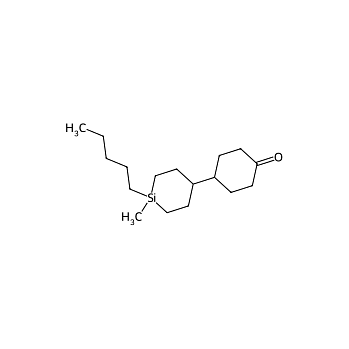 CCCCC[Si]1(C)CCC(C2CCC(=O)CC2)CC1